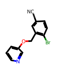 N#Cc1ccc(Br)c(COc2cccnc2)c1